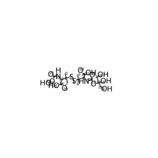 CC(C)(SSC(C)(C)C(NC(=O)OC(O)(CO)CO)C(=O)O)C(NC(=O)OO)C(=O)O